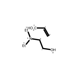 C=CC(=O)O.CCN(CC)CCO